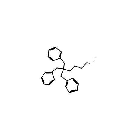 [Zr][O]CCCCC(Cc1ccccc1)(Cc1ccccc1)Cc1ccccc1